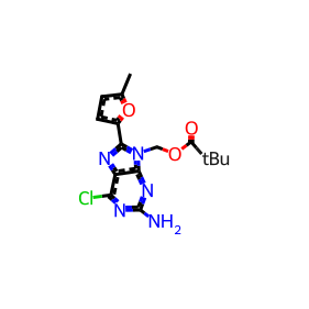 Cc1ccc(-c2nc3c(Cl)nc(N)nc3n2COC(=O)C(C)(C)C)o1